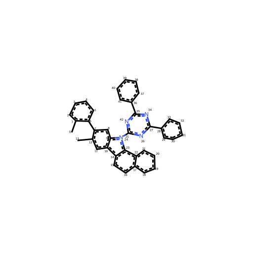 Cc1ccccc1-c1cc2c(cc1C)c1ccc3ccccc3c1n2-c1nc(-c2ccccc2)nc(-c2ccccc2)n1